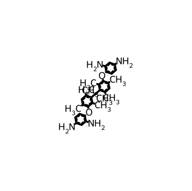 Cc1cc(C)c(C(C)(C)c2c(C)cc(C)c(Oc3ccc(N)cc3N)c2C)c(C)c1Oc1ccc(N)cc1N